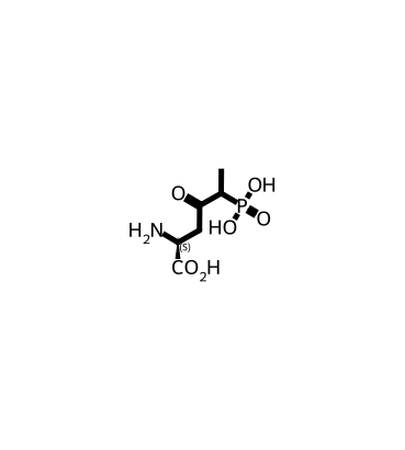 CC(C(=O)C[C@H](N)C(=O)O)P(=O)(O)O